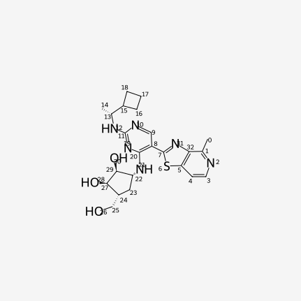 Cc1nccc2sc(-c3cnc(N[C@H](C)C4CCC4)nc3N[C@@H]3C[C@H](CO)[C@@H](O)[C@H]3O)nc12